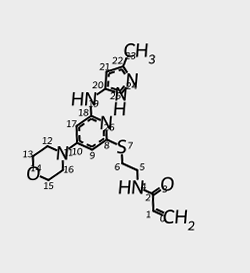 C=CC(=O)NCCSc1cc(N2CCOCC2)cc(Nc2cc(C)n[nH]2)n1